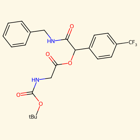 CC(C)(C)OC(=O)NCC(=O)OC(C(=O)NCc1ccccc1)c1ccc(C(F)(F)F)cc1